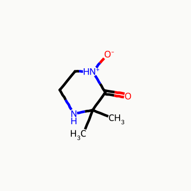 CC1(C)NCC[NH+]([O-])C1=O